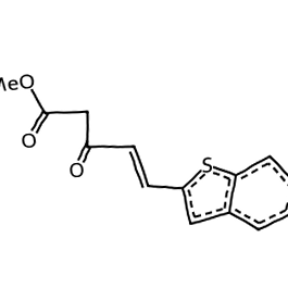 COC(=O)CC(=O)C=Cc1cc2ccccc2s1